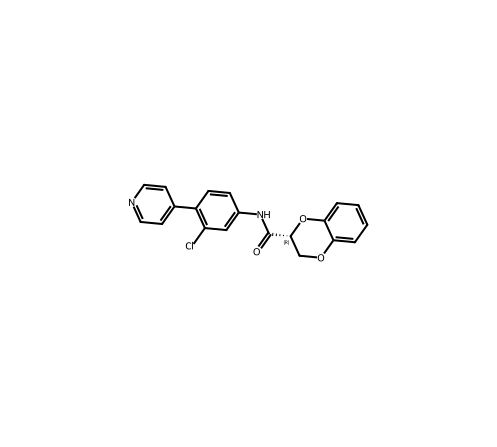 O=C(Nc1ccc(-c2ccncc2)c(Cl)c1)[C@H]1COc2ccccc2O1